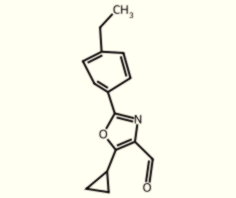 CCc1ccc(-c2nc(C=O)c(C3CC3)o2)cc1